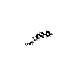 C=CCNC(=O)Nc1ccc2ncc(-c3ccc(F)cc3)nc2n1